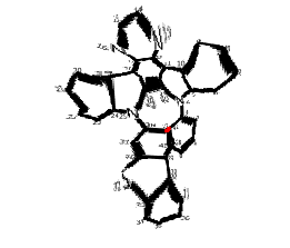 c1ccc(-n2c3ccccc3c3c4nccnc4c4c5ccccc5n(-c5ccc6c(c5)sc5ccccc56)c4c32)cc1